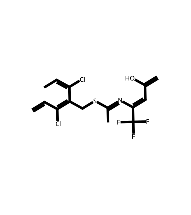 C=C/C(Cl)=C(CS/C(C)=N/C(=C\C(=C)O)C(F)(F)F)\C(Cl)=C/C